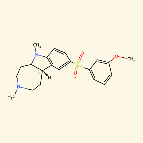 COc1cccc(S(=O)(=O)c2ccc3c(c2)[C@@H]2CCN(C)CCC2N3C)c1